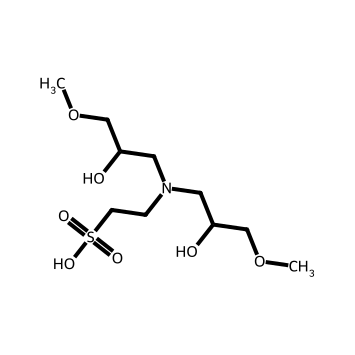 COCC(O)CN(CCS(=O)(=O)O)CC(O)COC